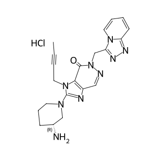 CC#CCn1c(N2CCC[C@@H](N)C2)nc2cnn(Cc3nnc4ccccn34)c(=O)c21.Cl